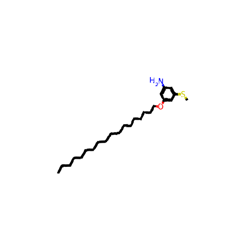 CCCCCCCCCCCCCCCCCCOc1cc(N)cc(SC)c1